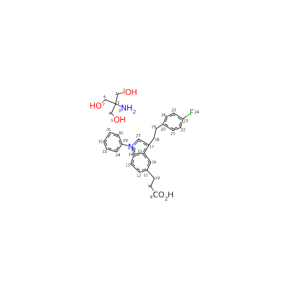 NC(CO)(CO)CO.O=C(O)CCc1ccc2c(c1)c(CCc1ccc(F)cc1)cn2-c1ccccc1